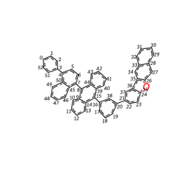 c1ccc(-c2ccc(-c3c4ccccc4c(-c4cccc(-c5ccc6oc7cc8ccccc8cc7c6c5)c4)c4ccccc34)c3ccccc23)cc1